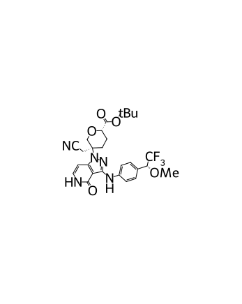 CO[C@H](c1ccc(Nc2nn([C@]3(CC#N)CC[C@@H](C(=O)OC(C)(C)C)OC3)c3cc[nH]c(=O)c23)cc1)C(F)(F)F